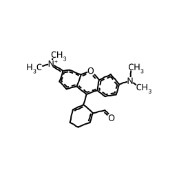 CN(C)c1ccc2c(C3=CCCC=C3C=O)c3ccc(=[N+](C)C)cc-3oc2c1